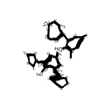 C.Cc1cc(C)c(O)c(C2CCCCC2)c1.Cc1cc(C2CCCC2)c(O)c(C2CCCC2)c1